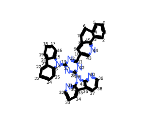 c1ccc2c(c1)ccc1cc(-c3nc(-n4c5ccccc5c5ccccc54)nc(-n4c5ncccc5c5cccnc54)n3)cnc12